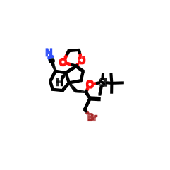 C=C(CBr)[C@@H](C[C@@]12CCC[C@@H](C#N)[C@@H]1C1(CC2)OCCO1)O[Si](C)(C)C(C)(C)C